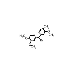 COc1cc(C(Br)c2ccc(OC)c(OC)c2)ccc1C